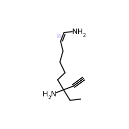 C#CC(N)(CC)CCCC/C=C\N